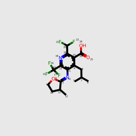 CC(C)Cc1c(N=C2OCCC2C)c(C(F)(F)F)nc(C(F)F)c1C(=O)O